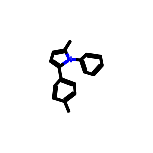 Cc1ccc(-c2ccc(C)n2-c2ccccc2)cc1